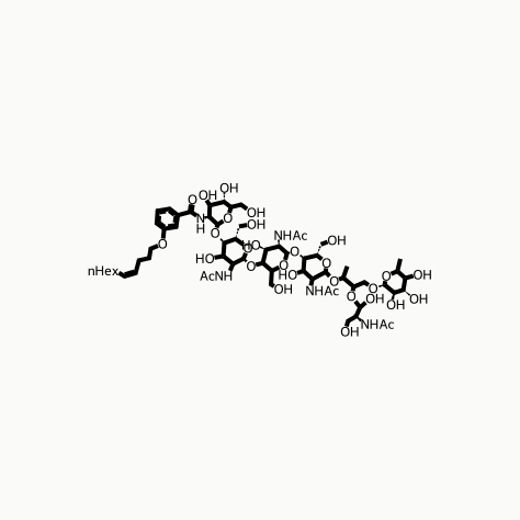 CCCCCC/C=C\CCCOc1cccc(C(=O)N[C@@H]2C(O[C@H]3C(O)C(NC(C)=O)[C@H](OC4C(CO)O[C@@H](O[C@H]5C(O)C(NC(C)=O)C(OC(C)C(CO[C@@H]6OC(C)C(O)[C@H](O)[C@H]6O)OC(O)[C@H](CO)NC(C)=O)O[C@H]5CO)[C@@H](NC(C)=O)[C@H]4O)O[C@H]3CO)OC(CO)[C@@H](O)C2O)c1